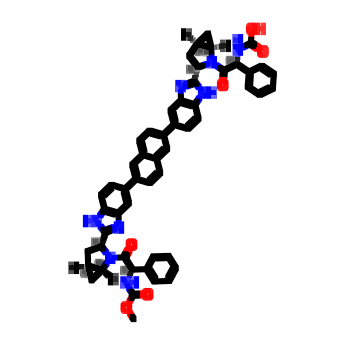 COC(=O)N[C@H](C(=O)N1[C@@H]2C[C@H]2C[C@H]1c1nc2cc(-c3ccc4cc(-c5ccc6[nH]c([C@@H]7C[C@H]8C[C@H]8N7C(=O)[C@H](NC(=O)O)c7ccccc7)nc6c5)ccc4c3)ccc2[nH]1)c1ccccc1